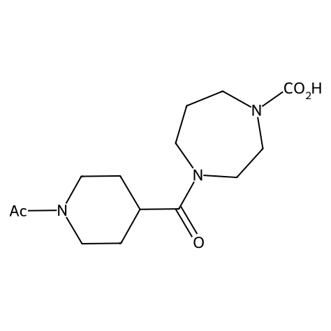 CC(=O)N1CCC(C(=O)N2CCCN(C(=O)O)CC2)CC1